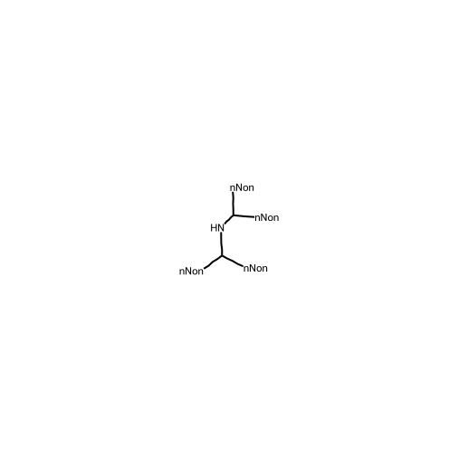 CCCCCCCCCC(CCCCCCCCC)NC(CCCCCCCCC)CCCCCCCCC